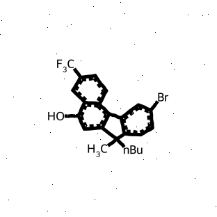 CCCCC1(C)c2ccc(Br)cc2-c2c1cc(O)c1cc(C(F)(F)F)ccc21